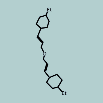 CCC1CCC(C=CCOCC=CC2CCC(CC)CC2)CC1